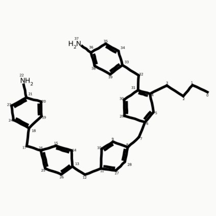 CCCCc1cc(Cc2ccc(Cc3ccc(Cc4ccc(N)cc4)cc3)cc2)ccc1Cc1ccc(N)cc1